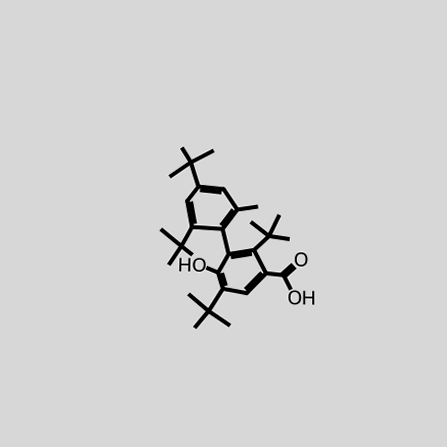 Cc1cc(C(C)(C)C)cc(C(C)(C)C)c1-c1c(O)c(C(C)(C)C)cc(C(=O)O)c1C(C)(C)C